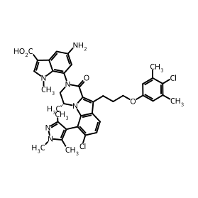 Cc1cc(OCCCc2c3n(c4c(-c5c(C)nn(C)c5C)c(Cl)ccc24)[C@H](C)CN(c2cc(N)cc4c(C(=O)O)cn(C)c24)C3=O)cc(C)c1Cl